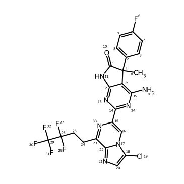 CC1(c2ccc(F)cc2)C(=O)Nc2nc(-c3cn4c(Cl)cnc4c(CCC(F)(F)C(F)(F)F)n3)nc(N)c21